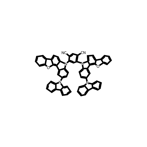 N#Cc1cc(C#N)c(-n2c3ccc(-n4c5ccccc5c5ccccc54)cc3c3c4oc5ccccc5c4ccc32)cc1-n1c2ccc(-n3c4ccccc4c4ccccc43)cc2c2c3oc4ccccc4c3ccc21